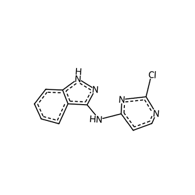 Clc1nccc(Nc2n[nH]c3ccccc23)n1